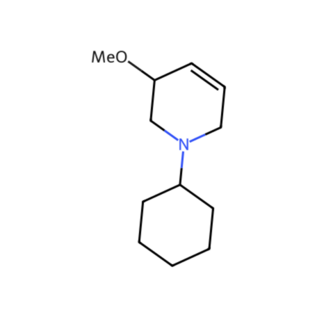 COC1C=CCN(C2CCCCC2)C1